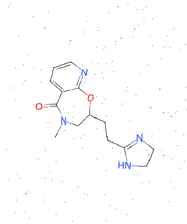 CN1CC(CCC2=NCCN2)Oc2ncccc2C1=O